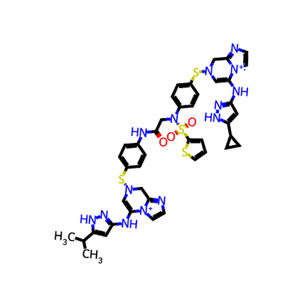 CC(C)c1cc(NC2=CN(Sc3ccc(NC(=O)CN(c4ccc(SN5C=C(Nc6cc(C7CC7)[nH]n6)[N+]6C=CN=C6C5)cc4)S(=O)(=O)c4cccs4)cc3)CC3=NC=C[N+]23)n[nH]1